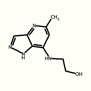 Cc1cc(NCCO)c2[nH]ncc2n1